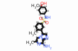 Cc1cn2c(-c3cc(S(=O)(=O)N[C@H]4CC[C@](C)(O)CC4)ccc3C)cnc2c(N)n1